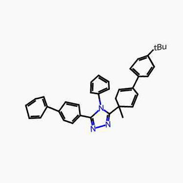 CC(C)(C)c1ccc(C2=CCC(C)(c3nnc(-c4ccc(-c5ccccc5)cc4)n3-c3ccccc3)C=C2)cc1